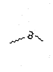 CCC=CCCOc1c(O)c(=O)oc2c(OCCCCCCCCCC)cccc12